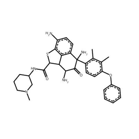 Cc1c(Oc2ccccc2)ccc(C2(N)C(=O)C(N)C3c4c2ccc(N)c4SC3C(=O)NC2CCCN(C)C2)c1C